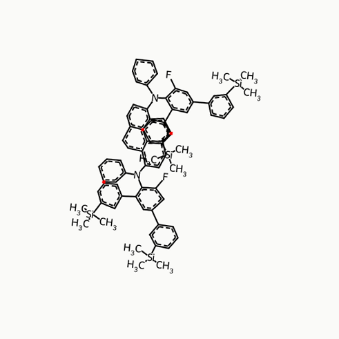 C[Si](C)(C)c1cccc(-c2cc(F)c(N(c3ccccc3)c3ccc4ccc5c(N(c6ccccc6)c6c(F)cc(-c7cccc([Si](C)(C)C)c7)cc6-c6cccc([Si](C)(C)C)c6)ccc6ccc3c4c65)c(-c3cccc([Si](C)(C)C)c3)c2)c1